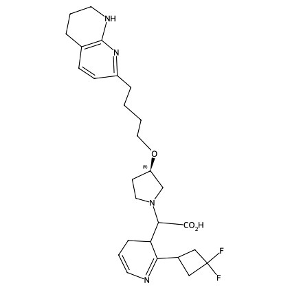 O=C(O)C(C1CC=CN=C1C1CC(F)(F)C1)N1CC[C@@H](OCCCCc2ccc3c(n2)NCCC3)C1